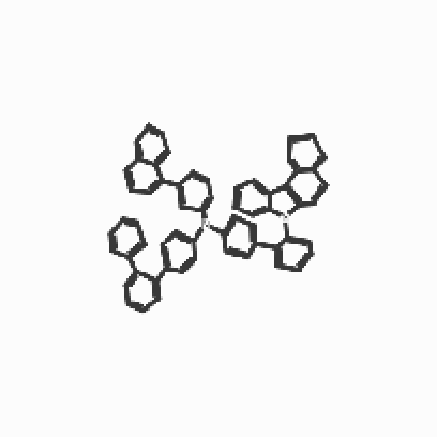 c1ccc(-c2ccccc2-c2ccc(N(c3ccc(-c4ccccc4-n4c5ccccc5c5c6ccccc6ccc54)cc3)c3cccc(-c4cccc5ccccc45)c3)cc2)cc1